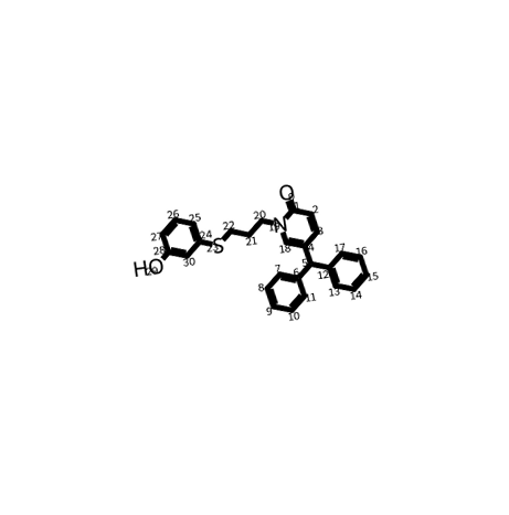 O=c1ccc(C(c2ccccc2)c2ccccc2)cn1CCCSc1cccc(O)c1